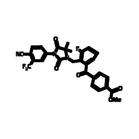 COC(=O)c1ccc(C(=O)c2cccc(F)c2CN2C(=O)N(c3ccc(C#N)c(C(F)(F)F)c3)C(=O)C2(C)C)cc1